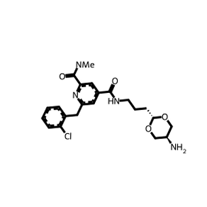 CNC(=O)c1cc(C(=O)NCCC[C@H]2OC[C@H](N)CO2)cc(Cc2ccccc2Cl)n1